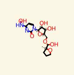 C[C@@]1(C(O)OC[C@H]2O[C@@H](n3ccc(NO)nc3=O)[C@H](O)[C@@H]2O)CCCO1